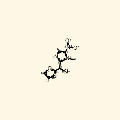 Cn1c([N+](=O)[O-])cnc1C(S)c1ncco1